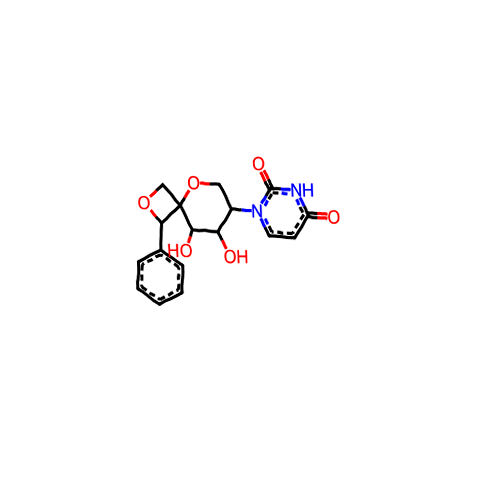 O=c1ccn(C2COC3(COC3c3ccccc3)C(O)C2O)c(=O)[nH]1